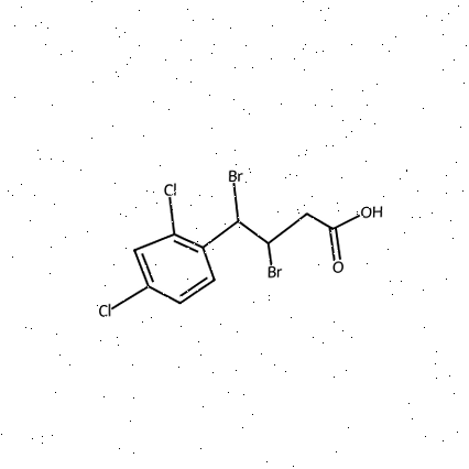 O=C(O)CC(Br)C(Br)c1ccc(Cl)cc1Cl